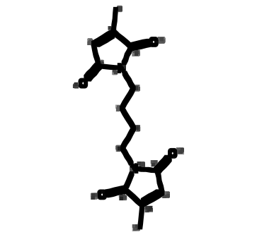 CC1=CC(=O)N(CCCCN2C(=O)C=C(C)C2=O)C1=O